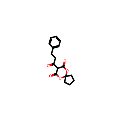 O=C(CCc1ccccc1)C1C(=O)OC2(CCCC2)OC1=O